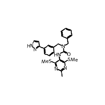 CSc1nc(C)nc(SC)c1NC(=O)N(Cc1ccccc1)Cc1cccc(-c2cc[nH]n2)c1